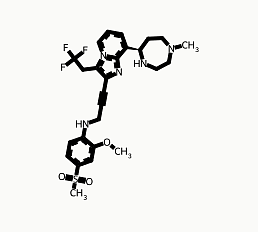 COc1cc(S(C)(=O)=O)ccc1NCC#Cc1nc2c([C@H]3CCN(C)CCN3)cccn2c1CC(F)(F)F